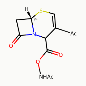 CC(=O)NOC(=O)C1C(C(C)=O)=CS[C@H]2CC(=O)N12